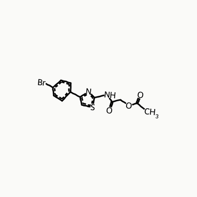 CC(=O)OCC(=O)Nc1nc(-c2ccc(Br)cc2)cs1